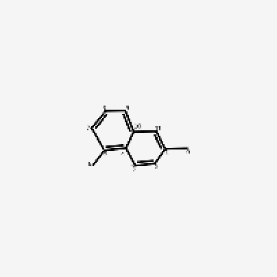 Cc1c[c]c2c(C)cccc2c1